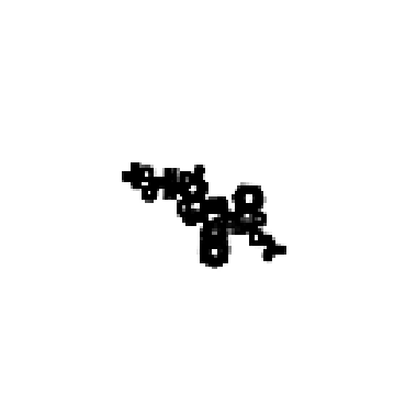 CCCC(NC(=O)[C@@H]1CC2(CN1C(=O)C(NC(=O)OCC(C)C)C1CCCCC1)SCCCS2)C(=O)C(=O)NCC(=O)OC(C)(C)C